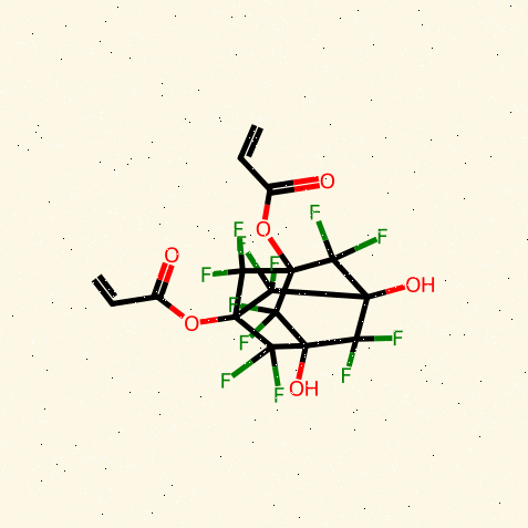 C=CC(=O)OC12C(F)(F)C3(O)C(F)(F)C(O)(C1(F)F)C(F)(F)C(OC(=O)C=C)(C3(F)F)C2(F)F